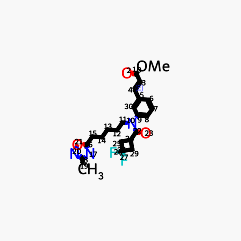 COC(=O)/C=C/c1cccc(N(CCCCCc2nc(C)no2)C(=O)C2CC(F)(F)C2)c1